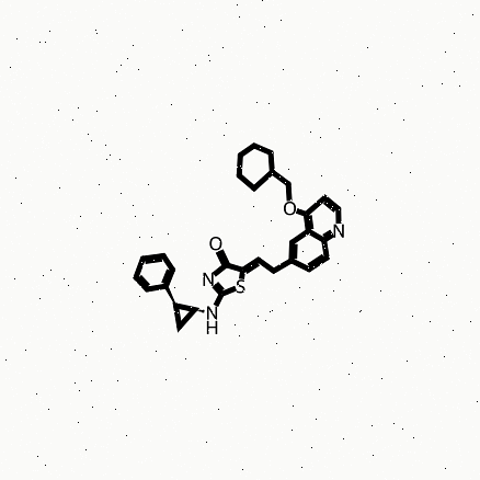 O=C1N=C(N[C@@H]2C[C@H]2c2ccccc2)S/C1=C\Cc1ccc2nccc(OCC3CCCCC3)c2c1